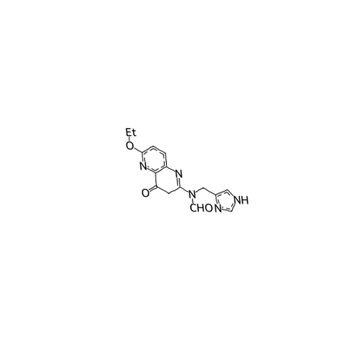 CCOc1ccc2c(n1)C(=O)CC(N(C=O)Cc1c[nH]cn1)=N2